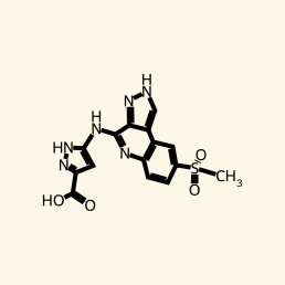 CS(=O)(=O)c1ccc2nc(Nc3cc(C(=O)O)n[nH]3)c3n[nH]cc3c2c1